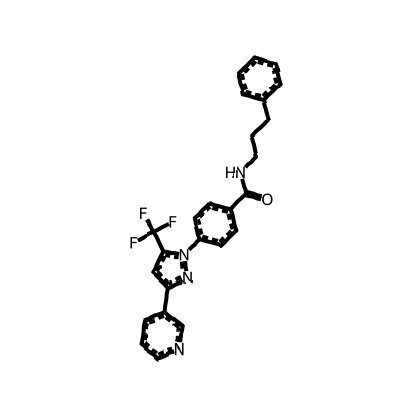 O=C(NCCCc1ccccc1)c1ccc(-n2nc(-c3cccnc3)cc2C(F)(F)F)cc1